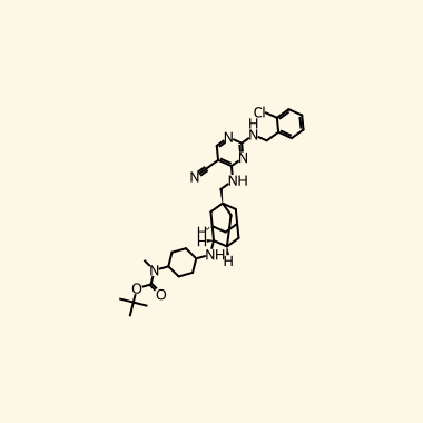 CN(C(=O)OC(C)(C)C)C1CCC(N[C@@H]2[C@@H]3CC4C[C@H]2C[C@@](CNc2nc(NCc5ccccc5Cl)ncc2C#N)(C4)C3)CC1